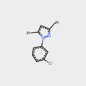 CC(C)c1cc(C(C)C)n(-c2cccc(Cl)c2)n1